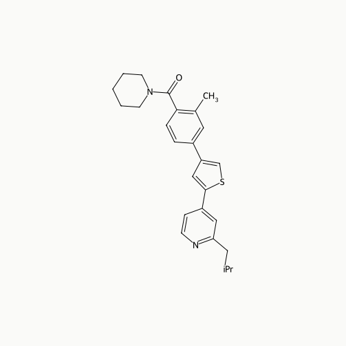 Cc1cc(-c2csc(-c3ccnc(CC(C)C)c3)c2)ccc1C(=O)N1CCCCC1